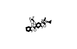 Cc1nn(-c2cc(OCC(F)(F)F)c(C(=O)Nc3ccccc3F)cc2F)c(=O)n1C1CC1